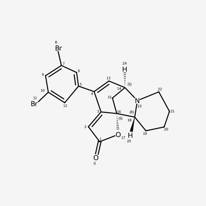 O=C1C=C2C(c3cc(Br)cc(Br)c3)=C[C@@H]3C[C@@]2(O1)[C@H]1CCCCN31